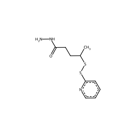 CC(CCC(=O)NN)SSc1ccccn1